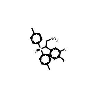 Cc1ccc(P(=S)(c2ccc(C)cc2)C(C[N+](=O)[O-])c2ccc(F)c(Cl)c2)cc1